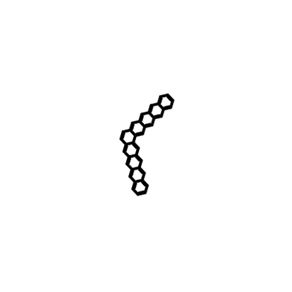 c1ccc2cc3cc4cc5c(ccc6cc7cc8cc9ccccc9cc8cc7cc65)cc4cc3cc2c1